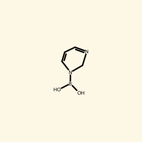 OB(O)N1C=CC=NC1